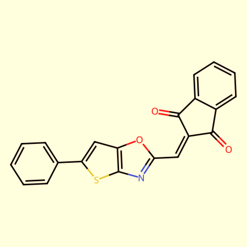 O=C1C(=Cc2nc3sc(-c4ccccc4)cc3o2)C(=O)c2ccccc21